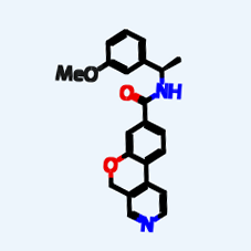 COc1cccc([C@@H](C)NC(=O)c2ccc3c(c2)OCc2cnccc2-3)c1